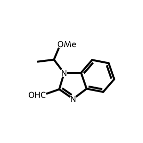 COC(C)n1c(C=O)nc2ccccc21